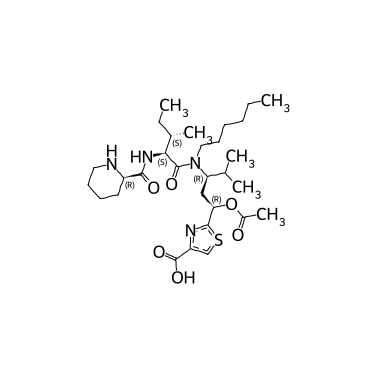 CCCCCCN(C(=O)[C@@H](NC(=O)[C@H]1CCCCN1)[C@@H](C)CC)[C@H](C[C@@H](OC(C)=O)c1nc(C(=O)O)cs1)C(C)C